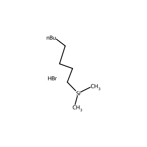 Br.CCCCCCCC[Si](C)C